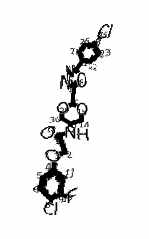 O=C(COc1ccc(Cl)c(F)c1)NC1COC(c2nnc(-c3ccc(Cl)cc3)o2)OC1